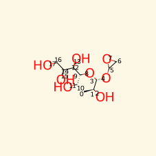 C[C@H](O)[C@@H](OC1CO1)O[C@H](CO)[C@H](O)C(O)CO